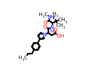 CCCc1ccc(-c2ccn(C(CC(=O)O)C(=O)NC(C(=O)NC)C(C)(C)C)c2)cc1